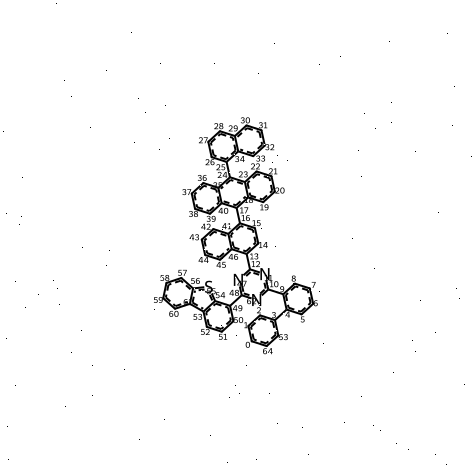 c1ccc(-c2ccccc2-c2nc(-c3ccc(-c4c5ccccc5c(-c5cccc6ccccc56)c5ccccc45)c4ccccc34)nc(-c3cccc4c3sc3ccccc34)n2)cc1